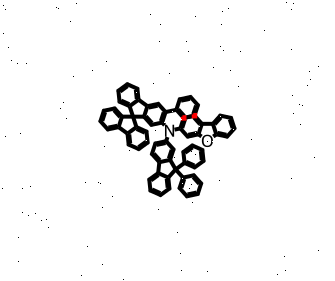 c1ccc(-c2cc3c(cc2N(c2ccc4c(c2)C(c2ccccc2)(c2ccccc2)c2ccccc2-4)c2ccc4c(c2)oc2ccccc24)C2(c4ccccc4-c4ccccc42)c2ccccc2-3)cc1